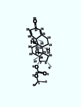 CC(C)OC(=O)O[C@H]1[C@@H](C)C[C@H]2[C@@H]3CCC4=CC(=O)C=C[C@]4(C)[C@H]3CC[C@@]21C